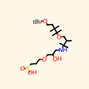 CC(COC(C)(C)C(C)(C)CCOC(C)(C)C)C(C)(C)NCC(O)COCCCS(=O)O